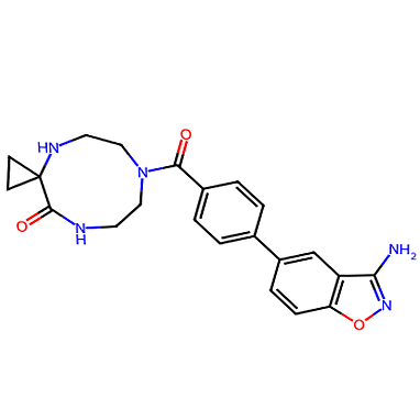 Nc1noc2ccc(-c3ccc(C(=O)N4CCNC(=O)C5(CC5)NCC4)cc3)cc12